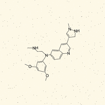 CNCCN(c1cc(OC)cc(OC)c1)c1ccc2ncc(C3=CN(C)NC3)cc2c1